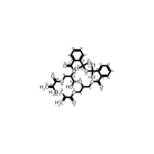 C=C(C)C(=O)OCC(O)COC(=O)c1ccccc1C(CC)(CC)OC(CC)(CC)c1ccccc1C(=O)OC(CO)COC(=O)C(=C)C